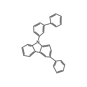 c1ccc(-c2cccc(-n3c4ccccc4c4cc(-c5ccccc5)ccc43)c2)cc1